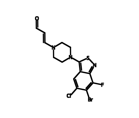 O=CC=CN1CCN(c2snc3c(F)c(Br)c(Cl)cc23)CC1